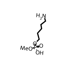 COP(=O)(O)OCCCCCN